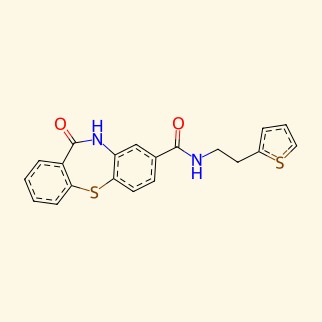 O=C(NCCc1cccs1)c1ccc2c(c1)NC(=O)c1ccccc1S2